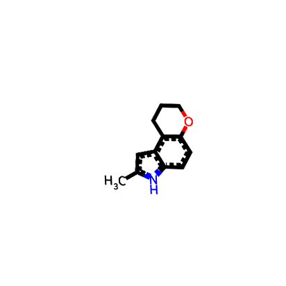 Cc1cc2c3c(ccc2[nH]1)OCCC3